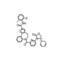 Cc1cccc(F)c1NC(=O)c1cc2c(s1)-c1ccccc1N(C(=O)c1cccc(N3C(=O)OC[C@H]3C3C=CC=CC3)n1)CC2